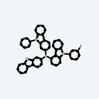 Fc1cccc(-n2c3ccccc3c3c(N(c4ccc5c(c4)oc4ccccc45)c4ccc5c6ccccc6n(-c6ccccc6)c5c4)cccc32)c1